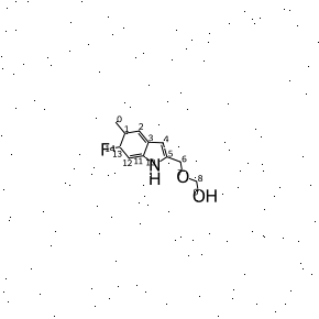 CC1C=c2cc(COCO)[nH]c2=CC1F